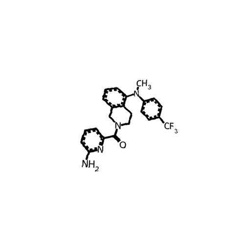 CN(c1ccc(C(F)(F)F)cc1)c1cccc2c1CCN(C(=O)c1cccc(N)n1)C2